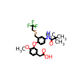 COc1ccc(CC(=O)O)cc1Oc1ccc(NC(=O)C(C)(C)C)cc1CSCC(F)(F)F